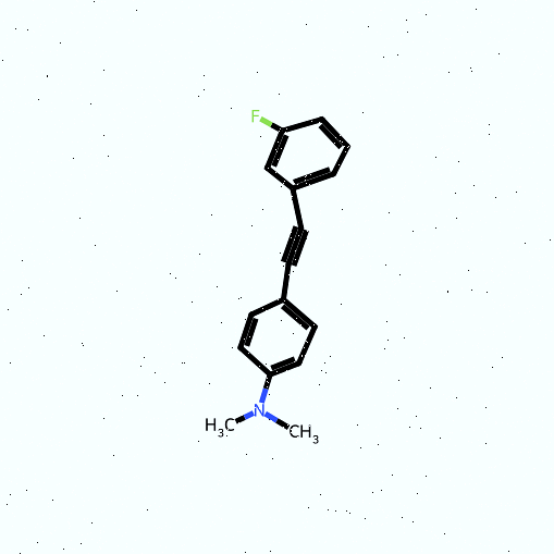 CN(C)c1ccc(C#Cc2cccc(F)c2)cc1